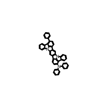 c1ccc(-c2ccc3c4cc5c(cc4n4c6ccccc6c2c34)c2ccc(N(c3ccccc3)c3ccccc3)c3c4ccccc4n5c23)cc1